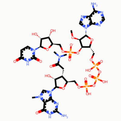 CO[C@@H]1[C@H](OP(=O)([O-])OC[C@H]2O[C@@H](n3ccc(=O)[nH]c3=O)[C@H](O)[C@@H]2O)[C@@H](COP(=O)(O)OP(=O)(O)OP(=O)(O)OC[C@H]2OC(n3c[n+](C)c4c(=O)[nH]c(N)nc43)[C@H](O)[C@@H]2CC(=O)N(C)C)O[C@H]1n1cnc2c(N)ncnc21